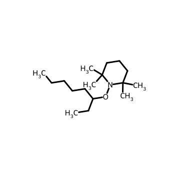 CCCCCC(CC)ON1C(C)(C)CCCC1(C)C